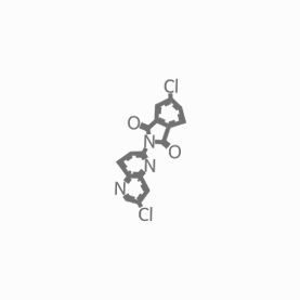 O=C1c2ccc(Cl)cc2C(=O)N1c1ccc2ncc(Cl)cc2n1